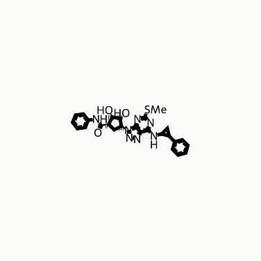 CSc1nc(NC2CC2c2ccccc2)c2nnn([C@H]3C[C@@H](C(=O)Nc4ccccc4)[C@H](O)[C@@H]3O)c2n1